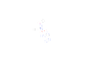 C[C@@H]1CN(C(=O)c2ccccc2)CCN1C(=O)C(=O)C1CNc2c(-c3cnccn3)ccnc21